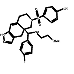 COCCNC(c1ccc(F)cc1)[C@@]12Cc3cn[nH]c3C=C1CCN(S(=O)(=O)c1ccc(C(C)(C)C)cc1)C2